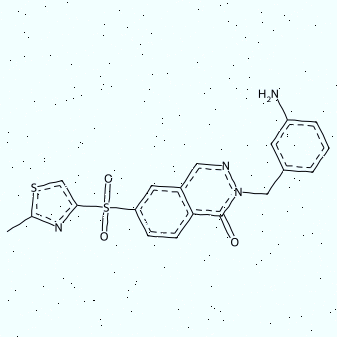 Cc1nc(S(=O)(=O)c2ccc3c(=O)n(Cc4cccc(N)c4)ncc3c2)cs1